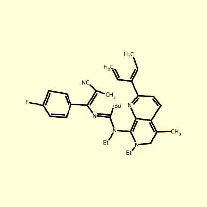 C=C/C(=C\C)c1ccc2c(n1)=C(N(CC)/C(=N/C(=C(\C)C#N)c1ccc(F)cc1)C(C)CC)N(CC)CC=2C